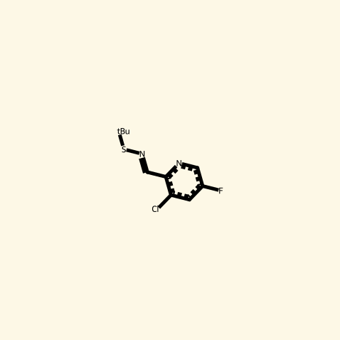 CC(C)(C)S/N=C/c1ncc(F)cc1Cl